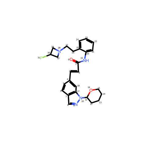 O=C(C=Cc1ccc2cnn(C3CCCCO3)c2c1)Nc1ccccc1CCN1CC(F)C1